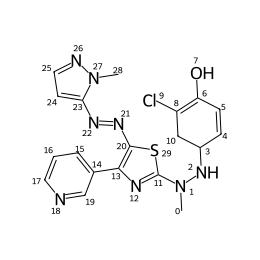 CN(NC1C=CC(O)=C(Cl)C1)c1nc(-c2cccnc2)c(/N=N/c2ccnn2C)s1